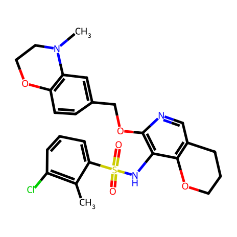 Cc1c(Cl)cccc1S(=O)(=O)Nc1c(OCc2ccc3c(c2)N(C)CCO3)ncc2c1OCCC2